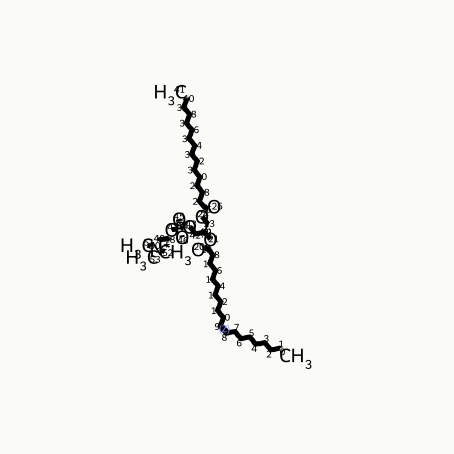 CCCCCCCC/C=C\CCCCCCCCCC(=O)O[C@H](COC(=O)CCCCCCCCCCCCCCC)COP(=O)([O-])OCC[N+](C)(C)C